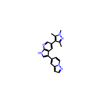 Cc1nn(C)c(C)c1-c1cnc2[nH]cc(-c3ccn4nccc4c3)c2c1